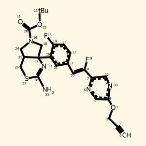 C#CCOc1cnc(/C(F)=C/c2ccc(F)c(C34CN(C(=O)OC(C)(C)C)CC3CSC(N)=N4)c2)cn1